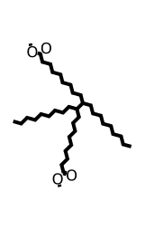 CCCCCCCCCC(CCCCCCCCC(=O)OC)C(CCCCCCCCC)CCCCCCCCC(=O)OC